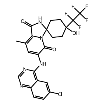 Cc1cc(Nc2ncnc3ccc(Cl)cc23)c(=O)n2c1C(=O)NC21CCC(O)(C(F)(F)C(F)(F)F)CC1